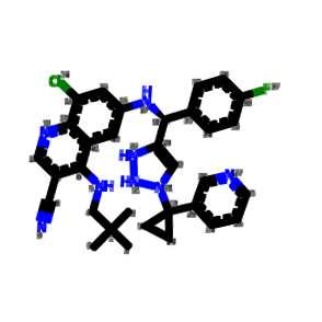 CC(C)(C)CNc1c(C#N)cnc2c(Cl)cc(N[C@H](C3=CN(C4(c5cccnc5)CC4)NN3)c3ccc(F)cc3)cc12